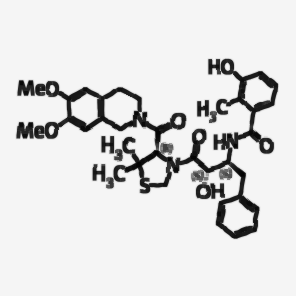 COc1cc2c(cc1OC)CN(C(=O)[C@H]1N(C(=O)[C@@H](O)[C@H](Cc3ccccc3)NC(=O)c3cccc(O)c3C)CSC1(C)C)CC2